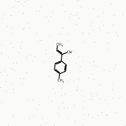 CC=C(C#N)c1ccc(C)cc1